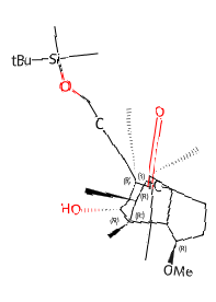 CO[C@@H]1CCC23CC[C@@H](C)[C@](C)(C12)[C@H](O)C[C@@](C)(CCO[Si](C)(C)C(C)(C)C)C(=O)[C@@H]3C